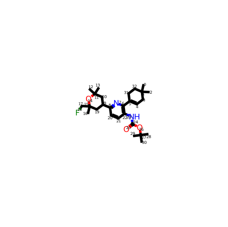 CC1(C)CC=C(c2nc(C3CC(C)(C)OC(C)(CF)C3)ccc2NC(=O)OC(C)(C)C)CC1